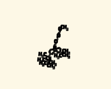 COCCOCCOCCn1c2ccc(-c3sc(C(C)(C)C)c(C)c3C)cc2c2cc(C(C)(C)C)ccc21